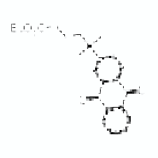 CCOC(=O)CCCC(C)(C)c1ccc2c(c1)C(=O)c1ccccc1C2=O